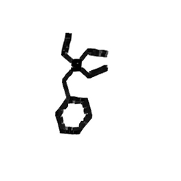 C=C[Si](C=C)(C=C)Cc1ccccc1